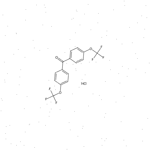 Cl.O=C(c1ccc(OC(F)(F)F)cc1)c1ccc(OC(F)(F)F)cc1